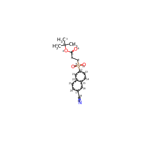 CC(C)(C)OC(=O)CCS(=O)(=O)c1ccc2cc(C#N)ccc2c1